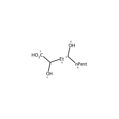 CCC(O)C(=O)O.CCCCCCO